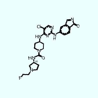 O=C1N=Cc2cc(Nc3ncc(Cl)c(NC4CCN(C(=O)N[C@H]5CCN(CCF)C5)CC4)n3)ccc21